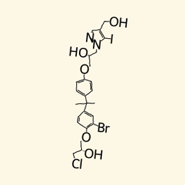 CC(C)(c1ccc(OC[C@H](O)Cn2ncc(CO)c2I)cc1)c1ccc(OC[C@H](O)CCl)c(Br)c1